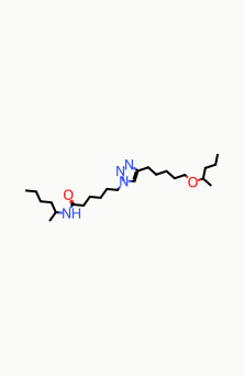 CCCCC(C)NC(=O)CCCCCn1cc(CCCCCOC(C)CCC)nn1